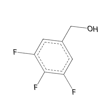 OCc1cc(F)c(F)c(F)c1